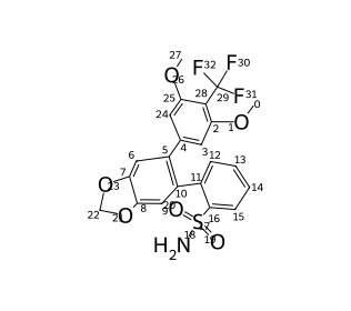 COc1cc(-c2cc3c(cc2-c2ccccc2S(N)(=O)=O)OCO3)cc(OC)c1C(F)(F)F